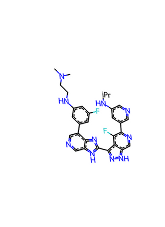 CC(C)Nc1cncc(-c2ncc3[nH]nc(-c4nc5c(-c6cc(F)cc(NCCN(C)C)c6)cncc5[nH]4)c3c2F)c1